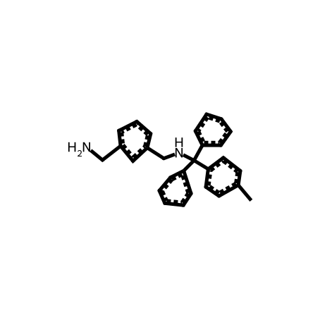 Cc1ccc(C(NCc2cccc(CN)c2)(c2ccccc2)c2ccccc2)cc1